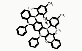 Cc1cc(C)c(B2c3ccccc3N(c3ccccc3)c3cc4c(cc32)B(c2c(C)cc(C)cc2C)c2c(oc3ccccc3c2=O)N4c2ccccc2)c(C)c1